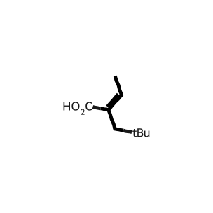 CC=C(CC(C)(C)C)C(=O)O